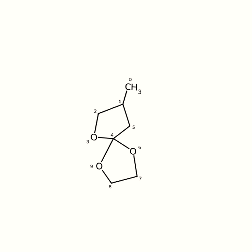 CC1COC2(C1)OCCO2